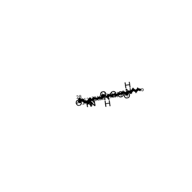 CCCCCNC(=O)COCCOCCNC(=O)CCCCn1cc(CCC(C)=O)nn1